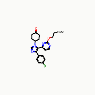 COCCOc1nccc(-c2c(-c3ccc(F)cc3)ncn2C2CCC(=O)CC2)n1